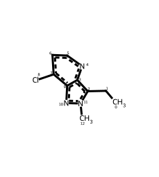 CCc1c2nccc(Cl)c2nn1C